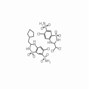 NS(=O)(=O)c1cc2c(cc1Cl)NC(C(Cl)Cl)NS2(=O)=O.NS(=O)(=O)c1cc2c(cc1Cl)NC(CC1CCCC1)NS2(=O)=O